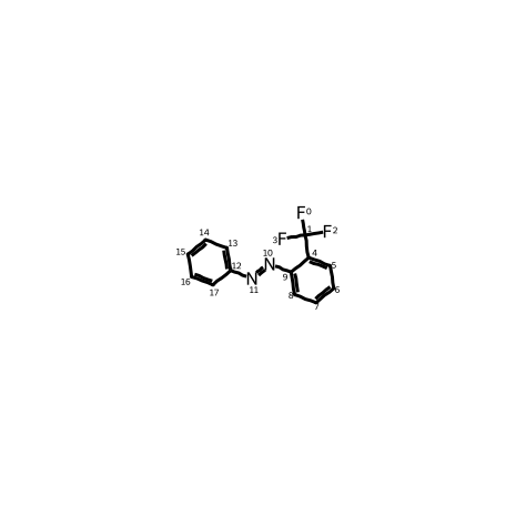 FC(F)(F)c1ccccc1N=Nc1ccccc1